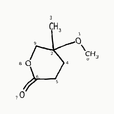 COC1(C)CCC(=O)OC1